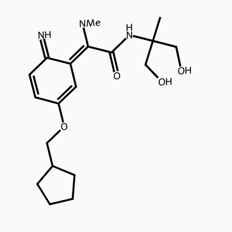 CN/C(C(=O)NC(C)(CO)CO)=C1/C=C(OCC2CCCC2)C=CC1=N